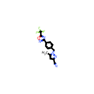 Cc1cc(C#N)nn1Cc1ccc(-c2noc(C(F)(F)F)n2)cc1